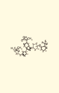 CN(C(=O)O)c1cc2c(cn1)c(-c1cnn(C[C@H]3COC(C)(C)O3)c1)nn2C1CCC(Oc2cccnc2C(F)(F)F)CC1